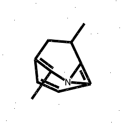 CC1=C2C=CC3=C(C(C)C2)N13